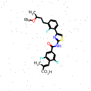 CC(=Cc1c(F)cc(C(=O)Nc2nc(-c3cccc(CCC(C)OC(C)(C)C)c3F)cs2)cc1F)C(=O)O